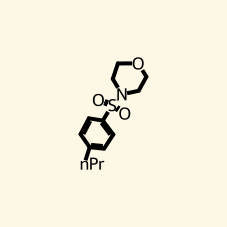 CCCc1ccc(S(=O)(=O)N2CCOCC2)cc1